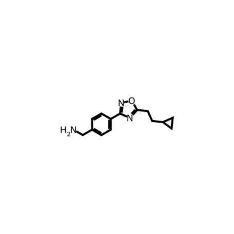 NCc1ccc(-c2noc(CCC3CC3)n2)cc1